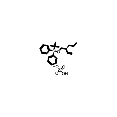 C=C[C@H](CCC)CO[Si](c1ccccc1)(c1ccccc1)C(C)(C)C.O=S(=O)(O)O